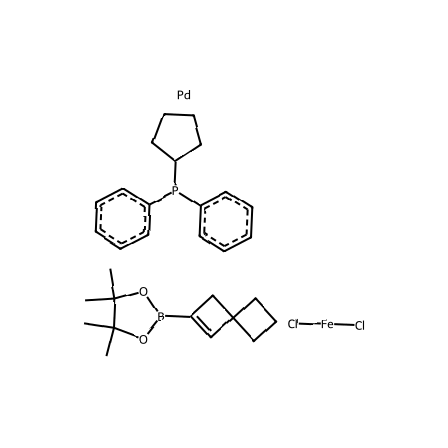 CC1(C)OB(C2=CC3(CCC3)C2)OC1(C)C.[Cl][Fe][Cl].[Pd].c1ccc(P(c2ccccc2)C2CCCC2)cc1